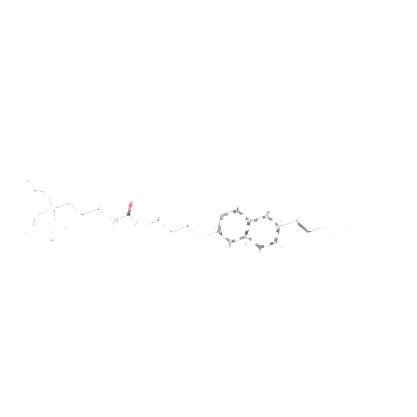 CCO[Si](CCCNC(=O)OCCCOc1ccc2cc(/C=C/C(=O)O)ccc2c1)(OCC)OCC